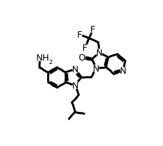 CC(C)CCn1c(Cn2c(=O)n(CC(F)(F)F)c3ccncc32)nc2cc(CN)ccc21